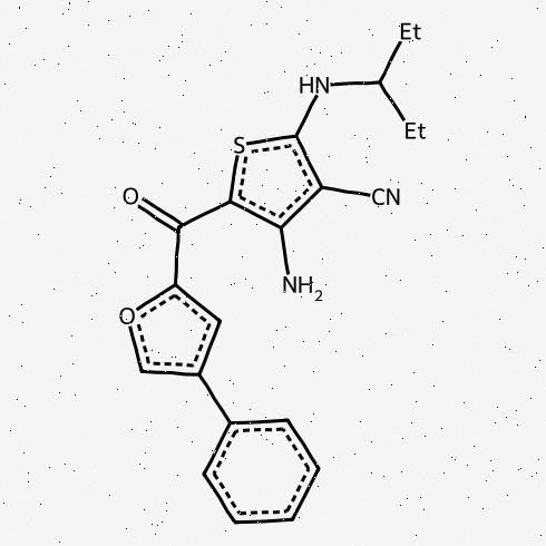 CCC(CC)Nc1sc(C(=O)c2cc(-c3ccccc3)co2)c(N)c1C#N